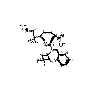 C=CCC(O)c1ccc([N+](=O)[O-])c(N(Cc2ccccc2)C2CC(F)(F)C2)n1